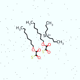 CCCCCCCCOC(=O)C(=O)[S-].CCCCCCCCOC(=O)C(=O)[S-].CCC[CH2][Sn+2][CH2]CCC